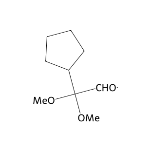 COC([C]=O)(OC)C1CCCC1